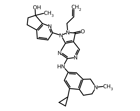 C=CCn1c(=O)c2cnc(Nc3cc4c(c(C5CC5)c3)CCN(C)C4)nc2n1-c1ccc2c(n1)C(C)(O)CC2